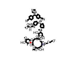 CC[C@H]1OC(=O)[C@H](C)[C@@H](O[C@H]2C[C@@](C)(OC)[C@@H](O)[C@H](C)O2)[C@H](C)[C@@H](O[C@@H]2O[C@H](C)C[C@H](N(C)C)[C@H]2O)[C@](C)(O)C[C@@H](C)/C(=N\OCOCCOC)[C@H](C)[C@@H](O)[C@]1(C)O.COC(=O)Nc1nc2cc([S+]([O-])c3ccccc3)ccc2[nH]1.N#Cc1ccc(C(c2ccc(C#N)cc2)n2cncn2)cc1